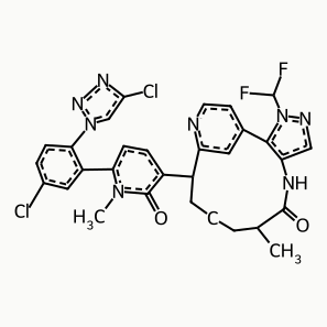 CC1CCCC(c2ccc(-c3cc(Cl)ccc3-n3cc(Cl)nn3)n(C)c2=O)c2cc(ccn2)-c2c(cnn2C(F)F)NC1=O